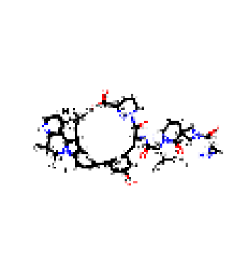 CCn1c(-c2cccnc2C(C)C)c2c3cc(ccc31)-c1cc(O)cc(c1)C[C@H](NC(=O)[C@H](C(C)C)N1CCCC3(CN(C(=O)[C@@H]4CN4)C3)C1=O)C(=O)N1CCC[C@H](N1)C(=O)OCC(C)(C)C2